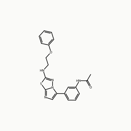 CC(=O)Nc1cccc(-c2cnc3sc(NCCOc4ccccc4)nn23)c1